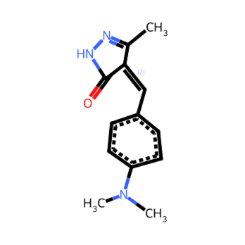 CC1=NNC(=O)/C1=C\c1ccc(N(C)C)cc1